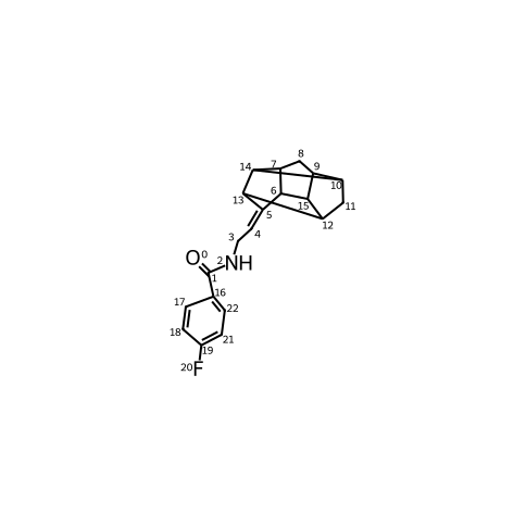 O=C(NCC=C1C2C3CC4C5CC(C1C53)C42)c1ccc(F)cc1